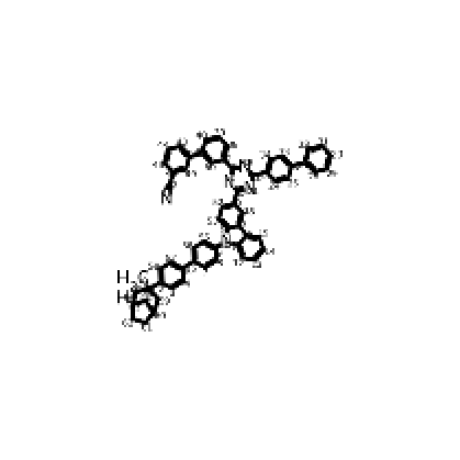 CC1(c2ccc(-c3ccc(-n4c5ccccc5c5cc(-c6nc(-c7ccc(-c8ccccc8)cc7)nc(-c7cccc(-c8cccc(C#N)c8)c7)n6)ccc54)cc3)cc2)CC2CC[C@H](C2)C1